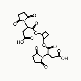 O=C(O)CC(C(=O)OC1CCC1OC(=O)C(CC(=O)O)N1C(=O)CCC1=O)N1C(=O)CCC1=O